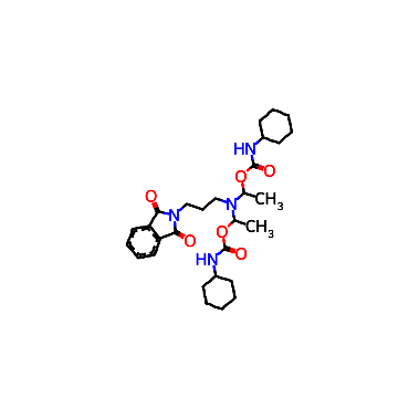 CC(OC(=O)NC1CCCCC1)N(CCCN1C(=O)c2ccccc2C1=O)C(C)OC(=O)NC1CCCCC1